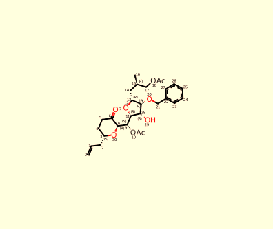 C=CC[C@@H]1CCC(=O)[C@@H]([C@@H](OC(C)=O)[C@@H]2O[C@H](C[C@@H](C)COC(C)=O)[C@H](OCc3ccccc3)[C@@H]2O)O1